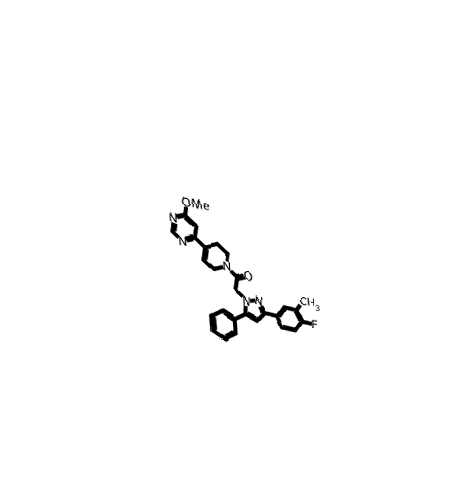 COc1cc(C2=CCN(C(=O)Cn3nc(-c4ccc(F)c(C)c4)cc3-c3ccccc3)CC2)ncn1